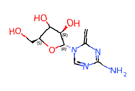 C=C1N=C(N)N=CN1[C@@H]1O[C@@H](CO)C(O)[C@H]1O